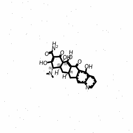 CN(C)[C@@H]1C(O)=C(C(N)=O)C(=O)[C@@]2(O)C(O)=C3C(=O)c4c(cc5ncccc5c4O)C[C@H]3C[C@@H]12